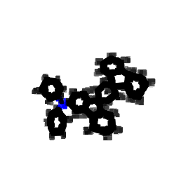 c1ccc(N(c2ccccc2)c2ccc3c(c2)-c2ccccc2C32CCC3(CC2)c2ccccc2-c2ccccc23)cc1